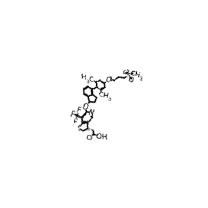 Cc1cc(OCCCS(C)(=O)=O)cc(C)c1-c1cccc2c1CCC2Oc1ncc2c(c1C(F)(F)F)SC[C@H]2CC(=O)O